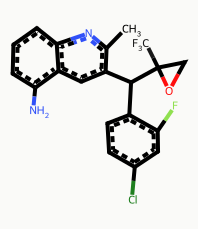 Cc1nc2cccc(N)c2cc1C(c1ccc(Cl)cc1F)C1(C(F)(F)F)CO1